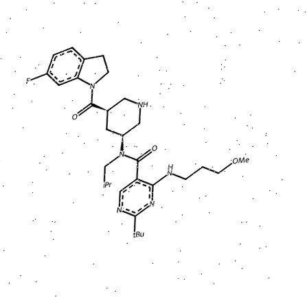 COCCCNc1nc(C(C)(C)C)ncc1C(=O)N(CC(C)C)[C@@H]1CNC[C@H](C(=O)N2CCc3ccc(F)cc32)C1